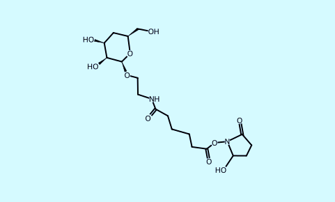 O=C(CCCCC(=O)ON1C(=O)CCC1O)NCCO[C@@H]1O[C@H](CO)C[C@H](O)[C@@H]1O